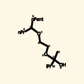 CCCCCC(CCC)OCCOC(C)(O)C(C)C